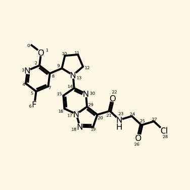 COc1ncc(F)cc1C1CCCN1c1ccn2ncc(C(=O)NCC(=O)CCl)c2n1